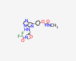 CNC(=O)COc1ccc(-c2cc3nccnc3c(NC[C@@H]3CN(C(=O)C(F)F)CCO3)n2)cc1